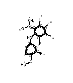 COc1ccc(Nc2c(F)c(F)c(F)c(F)c2[S+](C)[O-])cc1F